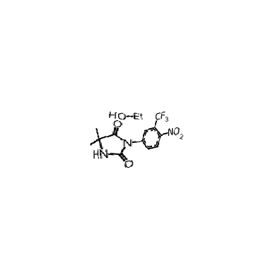 CC1(C)NC(=O)N(c2ccc([N+](=O)[O-])c(C(F)(F)F)c2)C1=O.CCO